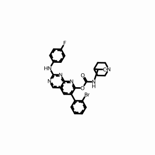 O=C(NC1CN2CCC1CC2)Oc1nc2nc(Nc3ccc(F)cc3)ncc2cc1-c1ccccc1Br